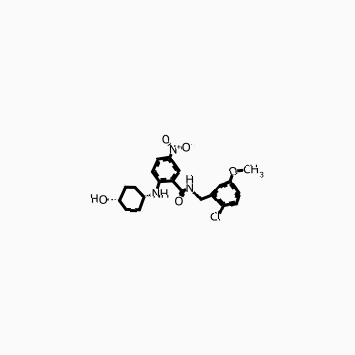 COc1ccc(Cl)c(CNC(=O)c2cc([N+](=O)[O-])ccc2N[C@H]2CC[C@@H](O)CC2)c1